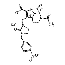 CC(=O)N1CCC2C(/C=C3\CCN(Cc4ccc([N+](=O)[O-])cc4)C3=O)=C(C(=O)[O-])N3C(=O)[C@@H]1[C@@H]23.[Na+]